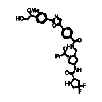 COC(CO)c1ccc(-c2ncc(-c3ccc(C(=O)NC[C@H]4C[C@@H](NC(=O)[C@@H]5CC(F)(F)CN5)CN4C(=O)C(C)C)cc3)o2)cc1